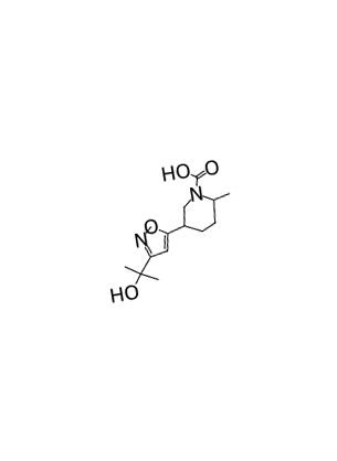 CC1CCC(c2cc(C(C)(C)O)no2)CN1C(=O)O